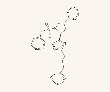 O=S(=O)(Cc1ccccc1)N1C[C@H](c2ccccc2)C[C@H]1c1nc(CCCc2ccccc2)no1